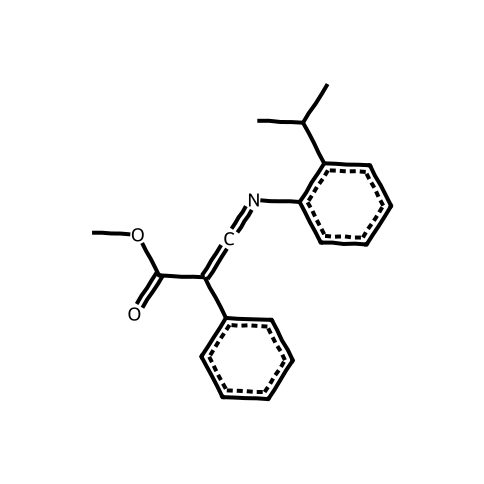 COC(=O)C(=C=Nc1ccccc1C(C)C)c1ccccc1